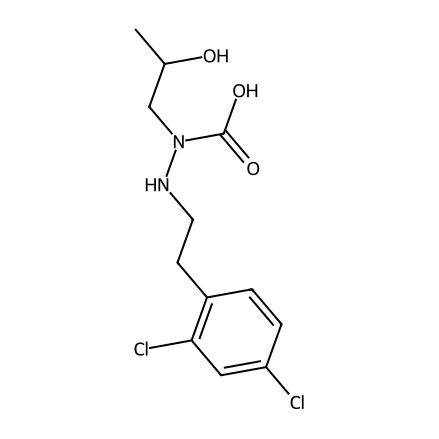 CC(O)CN(NCCc1ccc(Cl)cc1Cl)C(=O)O